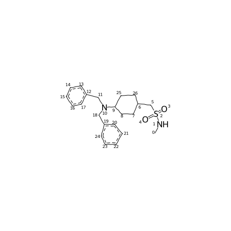 CNS(=O)(=O)CC1CCC(N(Cc2ccccc2)Cc2ccccc2)CC1